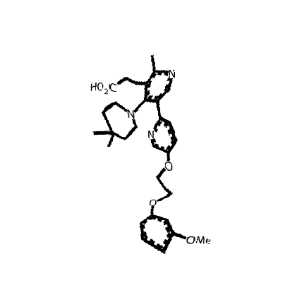 COc1cccc(OCCOc2ccc(-c3cnc(C)c(CC(=O)O)c3N3CCC(C)(C)CC3)nc2)c1